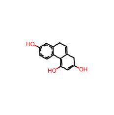 OC1=CC(O)=C2C(=CCc3cc(O)ccc32)C1